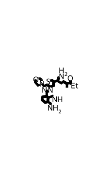 CCC(=O)/C(C)=C/C/C(=C\N)C1=Cc2nc(-c3cccc(CN)c3C=N)nc(N3CCOCC3)c2SC1